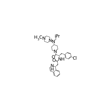 CC(C)CN(C1CCN(C(=O)[C@@H](Cc2ccc(Cl)cc2)NC(=O)C[C@@H]2NCCc3ccccc32)CC1)N1CCN(C)CC1